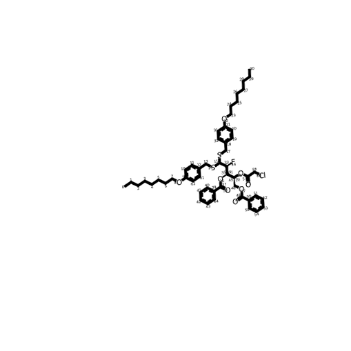 CCCCCCCCOc1ccc(CSC(SCc2ccc(OCCCCCCCC)cc2)[C@@H](F)[C@H](OC(=O)c2ccccc2)[C@H](COC(=O)c2ccccc2)OC(=O)CCl)cc1